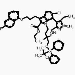 CCOC(=O)c1c(CCCOc2cccc3cc(F)ccc23)c2ccc(Cl)c(-c3c(CO)nn(C)c3CC)c2n1CCC(F)(F)CO[Si](c1ccccc1)(c1ccccc1)C(C)(C)C